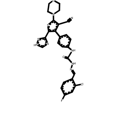 N#Cc1c(N2CCOCC2)sc(-c2nc[nH]n2)c1-c1ccc(NC(=O)N/N=C/c2ccc(F)cc2Cl)cc1